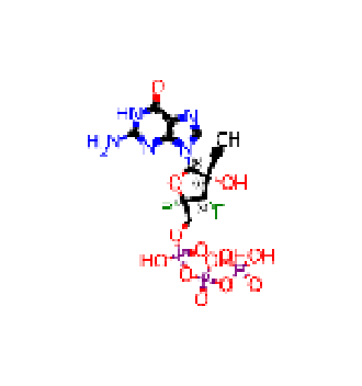 C#C[C@]1(O)[C@H](n2cnc3c(=O)[nH]c(N)nc32)O[C@](F)(COP(=O)(O)OP(=O)(O)OP(=O)(O)O)[C@H]1F